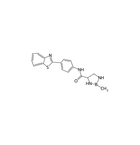 CB1NCC(C(=O)Nc2ccc(-c3nc4ccccc4s3)cc2)N1